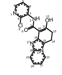 O=C(Nc1cccnc1Cl)C1=C(O)CCc2c1nc1ccccn21